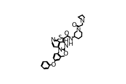 Cc1cc(Oc2ccccc2)ccc1N1C(=O)Nc2c(C(=O)NC3CCCN(C(=O)CN4CCC4)C3)sc3nccc1c23